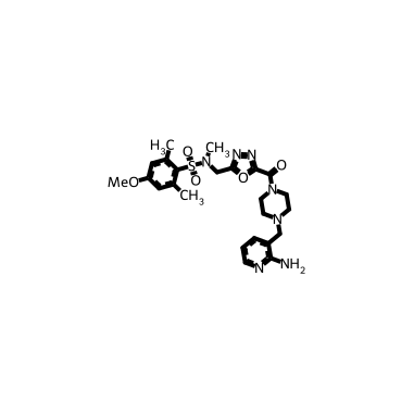 COc1cc(C)c(S(=O)(=O)N(C)Cc2nnc(C(=O)N3CCN(Cc4cccnc4N)CC3)o2)c(C)c1